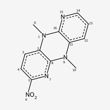 CN1c2ccc([N+](=O)[O-])nc2N(C)c2cccnc21